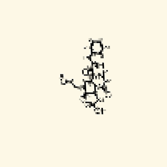 COCCN1C[C@H]2N(C(=O)CN(C)N2C(=O)NCc2ccccc2)[C@@H](CC(=O)O)C1=O